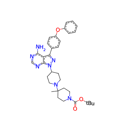 CC(C)(C)OC(=O)N1CCC(C)(N2CCC(n3nc(-c4ccc(Oc5ccccc5)cc4)c4c(N)ncnc43)CC2)CC1